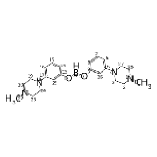 CN1CCN(c2cccc(OBOc3cccc(N4CCN(C)CC4)c3)c2)CC1